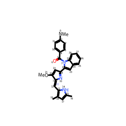 CNc1ccc(C(=O)n2c(C3=N/C(=C\c4[nH]c(C)cc4C)C(OC)=C3)cc3ccccc32)cc1